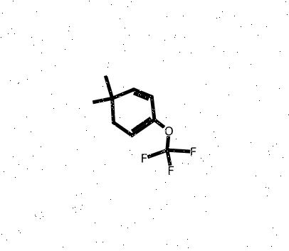 CC1(C)C=CC(OC(F)(F)F)=CC1